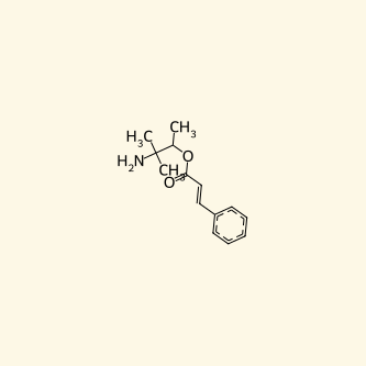 CC(OC(=O)C=Cc1ccccc1)C(C)(C)N